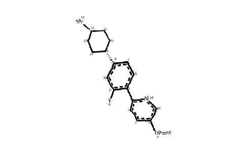 CCCCCc1ccc(-c2ccc([C@H]3CC[C@H](CCC)CC3)cc2F)nc1